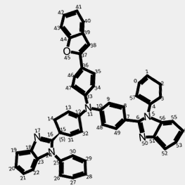 C1=CCCC(n2c(-c3ccc(N(C4=CC[C@H](c5nc6ccccc6n5-c5ccccc5)C=C4)c4ccc(-c5cc6ccccc6o5)cc4)cc3)nc3ccccc32)=C1